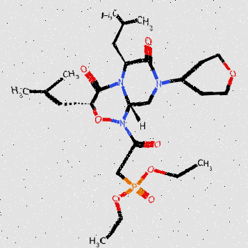 CCOP(=O)(CC(=O)N1O[C@H](CC(C)C)C(=O)N2[C@@H]1CN(C1CCOCC1)C(=O)[C@@H]2CC(C)C)OCC